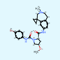 CO[C@@H]1C[C@H](C(=O)Nc2ccc3c(c2)C2(CC2)CN(C)CC3)N(C(=O)Nc2ccc(Br)cc2)C1